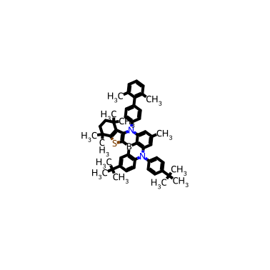 Cc1cc2c3c(c1)N(c1ccc(-c4c(C)cccc4C)cc1)c1c(sc4c1C(C)(C)CCC4(C)C)B3c1cc(C(C)(C)C)ccc1N2c1ccc(C(C)(C)C)cc1